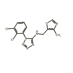 Cc1ncoc1CNc1nnnn1-c1cccc(Cl)c1Cl